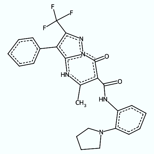 Cc1[nH]c2c(-c3ccccc3)c(C(F)(F)F)nn2c(=O)c1C(=O)Nc1ccccc1N1CCCC1